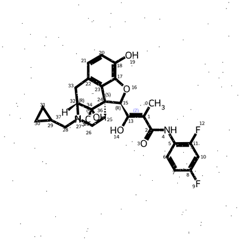 C/C(C(=O)Nc1ccc(F)cc1F)=C(/O)[C@@H]1Oc2c(O)ccc3c2[C@@]12CCN(CC1CC1)[C@H](C3)[C@@]2(C)O